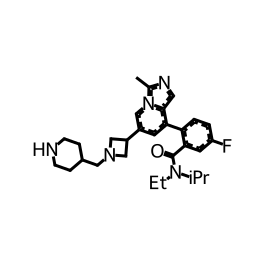 CCN(C(=O)c1cc(F)ccc1-c1cc(C2CN(CC3CCNCC3)C2)cn2c(C)ncc12)C(C)C